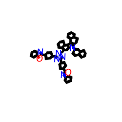 c1ccc2cc(-n3c4ccc5ccccc5c4c4c5ccccc5c(-c5nc(-c6ccc(-c7nc8ccccc8o7)cc6)nc(-c6ccc(-c7nc8ccccc8o7)cc6)n5)cc43)ccc2c1